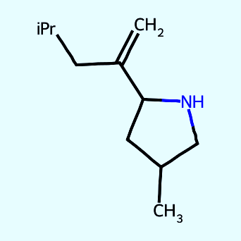 C=C(CC(C)C)C1CC(C)CN1